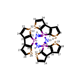 c1cc2c(s1)P1(=NP3(=NP4(=N1)c1sccc1-c1ccsc14)c1sccc1-c1ccsc13)c1sccc1-2